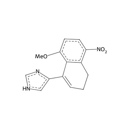 COc1ccc([N+](=O)[O-])c2c1C(c1c[nH]cn1)=CCC2